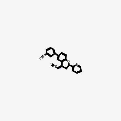 [C-]#[N+]/C=C1/CC(c2ccccn2)Oc2ccc(-c3cccc([N+]#[C-])c3)cc21